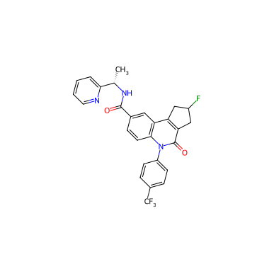 C[C@H](NC(=O)c1ccc2c(c1)c1c(c(=O)n2-c2ccc(C(F)(F)F)cc2)CC(F)C1)c1ccccn1